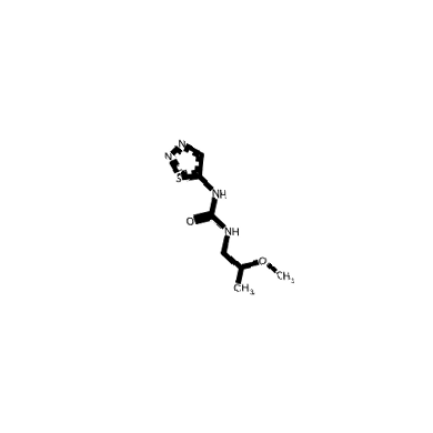 COC(C)CNC(=O)Nc1cnns1